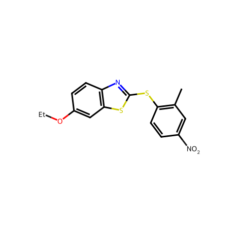 CCOc1ccc2nc(Sc3ccc([N+](=O)[O-])cc3C)sc2c1